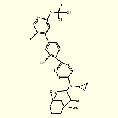 C[C@]12CCC[C@](C)(C1)[C@H](F)[C@H](N(c1cnc(-c3ccc(-c4cc(SC(S)(S)S)ncc4F)cc3O)nn1)C1CC1)C2